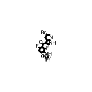 CC(C)S(=O)(=O)Nc1ccc(F)c(C(=O)c2c[nH]c3ncc(Br)cc23)c1F